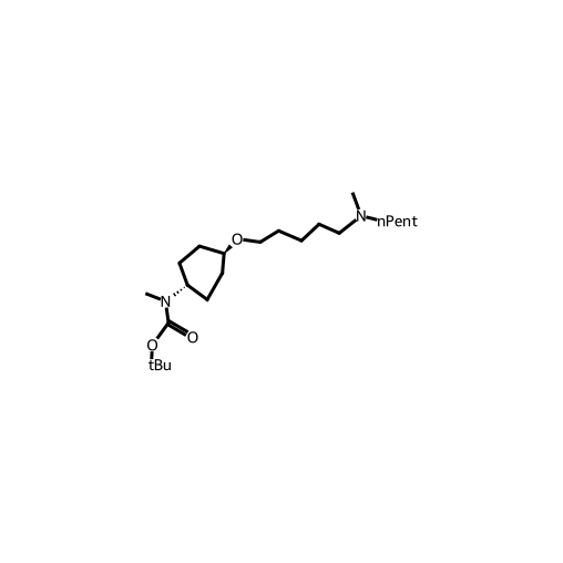 CCCCCN(C)CCCCCO[C@H]1CC[C@H](N(C)C(=O)OC(C)(C)C)CC1